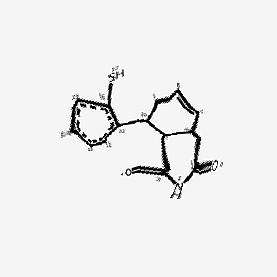 O=C1NC(=O)C2C1C=CCC2c1ccccc1S